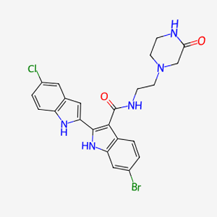 O=C1CN(CCNC(=O)c2c(-c3cc4cc(Cl)ccc4[nH]3)[nH]c3cc(Br)ccc23)CCN1